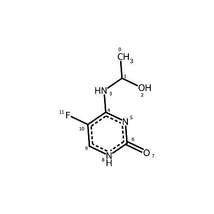 CC(O)Nc1nc(=O)[nH]cc1F